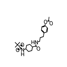 CC(=O)Oc1ccc(CCCNC(=O)C2CCC(NS(=O)(=O)C(C)(C)C)CC2)cc1